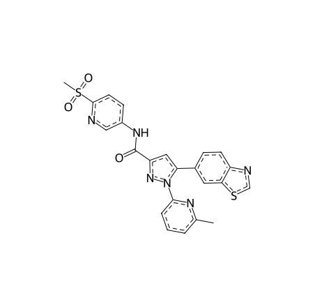 Cc1cccc(-n2nc(C(=O)Nc3ccc(S(C)(=O)=O)nc3)cc2-c2ccc3ncsc3c2)n1